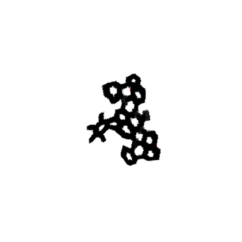 Cc1c(C)c(C)c2c3cc4c5c6c3c(cc3c6n(c(=O)n5-c5ccccc5B4c4ccccc4-c4ccccc4)-c4ccccc4B3c3ccccc3-c3ccccc3)c2c1C